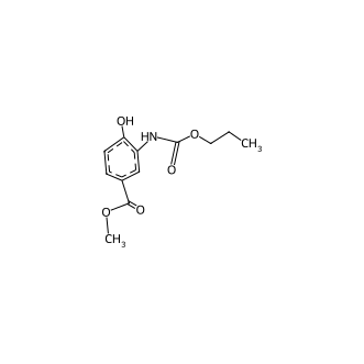 CCCOC(=O)Nc1cc(C(=O)OC)ccc1O